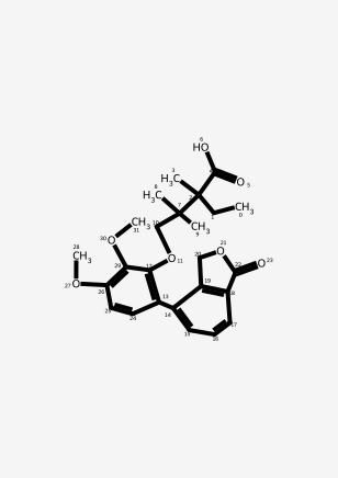 CCC(C)(C(=O)O)C(C)(C)COc1c(-c2cccc3c2COC3=O)ccc(OC)c1OC